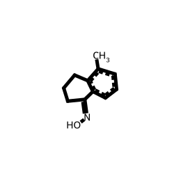 Cc1cccc2c1CCCC2=NO